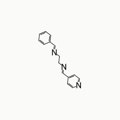 C(=N\CC/N=C/c1ccncc1)/c1ccccc1